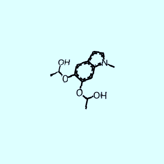 CC(O)Oc1cc2c(ccn2C)cc1O[C@@H](C)O